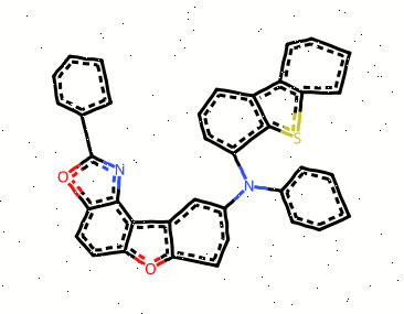 c1ccc(-c2nc3c(ccc4oc5ccc(N(c6ccccc6)c6cccc7c6sc6ccccc67)cc5c43)o2)cc1